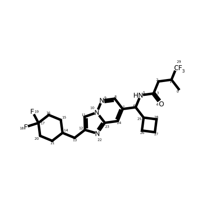 CC(CC(=O)NC(c1cnn2cc(CC3CCC(F)(F)CC3)nc2c1)C1CCC1)C(F)(F)F